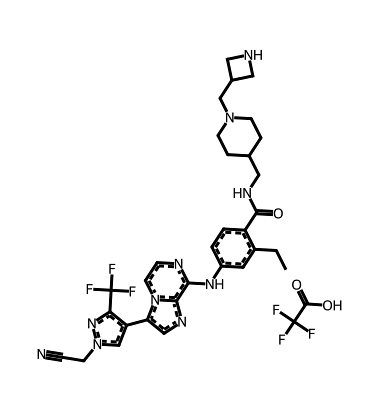 CCc1cc(Nc2nccn3c(-c4cn(CC#N)nc4C(F)(F)F)cnc23)ccc1C(=O)NCC1CCN(CC2CNC2)CC1.O=C(O)C(F)(F)F